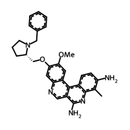 COc1cc2c(cc1OC[C@@H]1CCCN1Cc1ccccc1)ncc1c(N)nc3c(C)c(N)ccc3c12